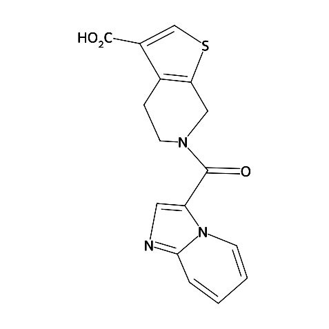 O=C(O)c1csc2c1CCN(C(=O)c1cnc3ccccn13)C2